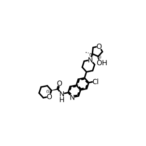 C[C@]1(N2CCC(c3cc4cc(NC(=O)[C@@H]5CCCCO5)ncc4cc3Cl)CC2)COC[C@H]1O